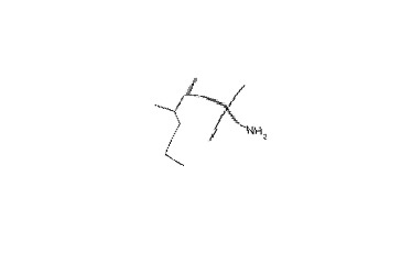 CCC(C)C(C)C(C)(C)N